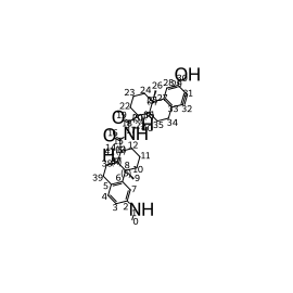 CNc1ccc2c(c1)[C@@]1(C)CCC[C@](C)(C(=O)NC(=O)[C@@]3(C)CCC[C@]4(C)c5cc(O)c#cc5CC[C@@H]34)[C@@H]1CC2